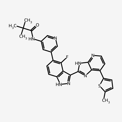 Cc1ccc(-c2ccnc3[nH]c(-c4n[nH]c5ccc(-c6cncc(NC(=O)C(C)(C)C)c6)c(F)c45)nc23)s1